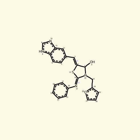 OC1/C(=C/c2ccc3[nH]cnc3c2)S/C(=N\c2ccccc2)N1Cc1ccco1